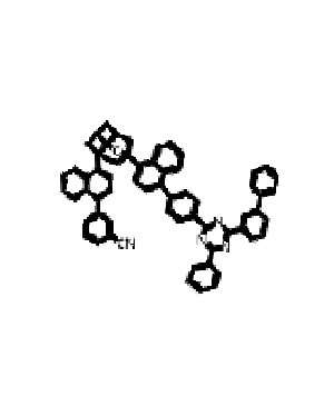 N#Cc1cccc(-c2ccc(C34CC5CC6CC(c7ccc(-c8ccc(-c9nc(-c%10ccccc%10)nc(-c%10cccc(-c%11ccccc%11)c%10)n9)cc8)c8ccccc78)(C3)CC654)c3ccccc23)c1